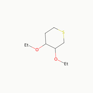 CCOC1CCSCC1OCC